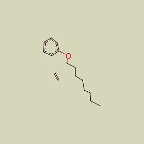 C=C.CCCCCCCCOc1ccccc1